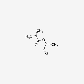 C=C(C)C(=O)OC(C)P=O